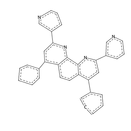 c1ccc(-c2cc(-c3cccnc3)nc3c2ccc2c(-c4ccccc4)cc(-c4cccnc4)nc23)cc1